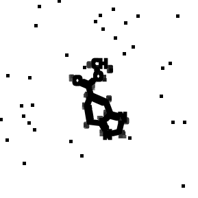 COC(=O)c1ccc2c(c1)=N[CH]N=2